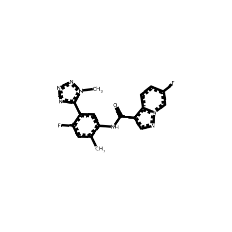 Cc1cc(F)c(-c2nnnn2C)cc1NC(=O)c1cnn2cc(F)ccc12